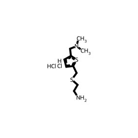 CN(C)Cc1ccc(CSCCN)s1.Cl.Cl